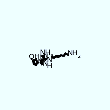 NCCCCCCCCNc1nc(N)nc2c1ncn2[C@H]1C=C[C@@H](CO)C1